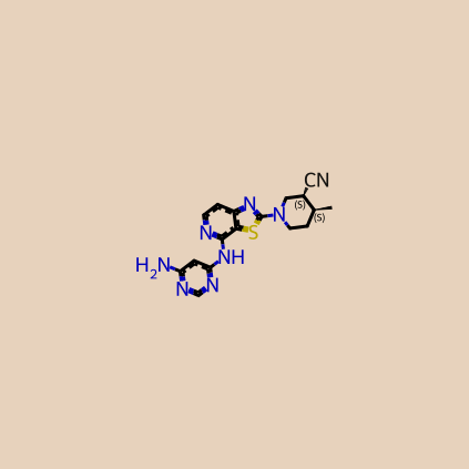 C[C@H]1CCN(c2nc3ccnc(Nc4cc(N)ncn4)c3s2)C[C@H]1C#N